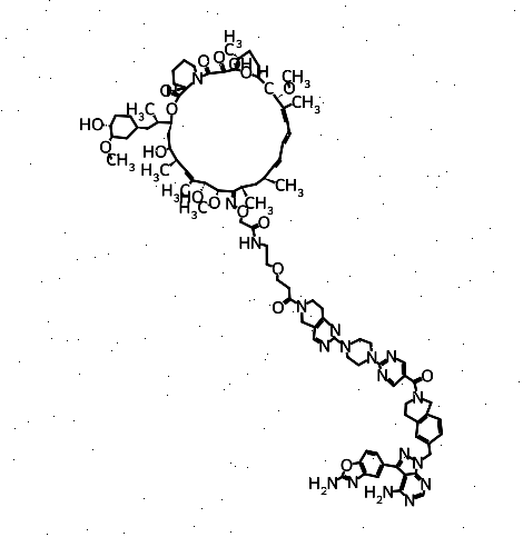 CO[C@H]1C[C@@H]2CC[C@@H](C)[C@@](O)(O2)C(=O)C(=O)N2CCCC[C@H]2C(=O)O[C@H]([C@H](C)C[C@@H]2CC[C@@H](O)[C@H](OC)C2)C[C@@H](O)[C@H](C)/C=C(\C)[C@@H](O)[C@@H](OC)/C(=N/OCC(=O)NCCOCCC(=O)N2CCc3nc(N4CCN(c5ncc(C(=O)N6CCc7cc(Cn8nc(-c9ccc%10oc(N)nc%10c9)c9c(N)ncnc98)ccc7C6)cn5)CC4)ncc3C2)[C@H](C)C[C@H](C)/C=C/C=C/C=C/1C